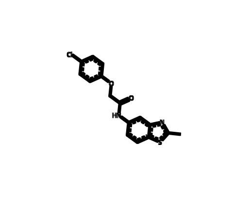 Cc1nc2cc(NC(=O)COc3ccc(Cl)cc3)ccc2s1